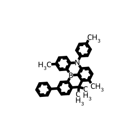 Cc1ccc(N2c3ccc(C)cc3B3c4cc(-c5ccccc5)ccc4C(C)(C)c4c(C)ccc2c43)cc1